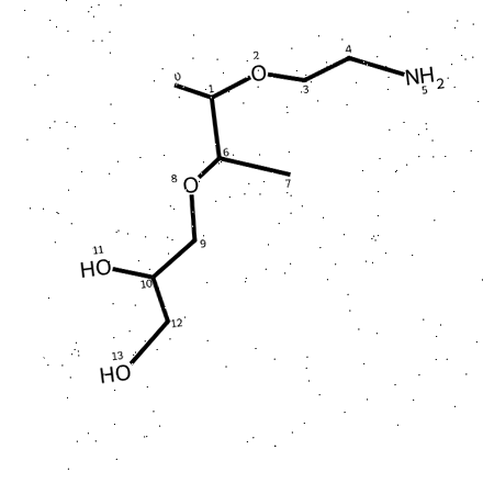 CC(OCCN)C(C)OCC(O)CO